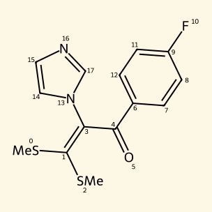 CSC(SC)=C(C(=O)c1ccc(F)cc1)n1ccnc1